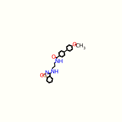 COc1ccc(-c2ccc(C(=O)NCCCNc3n[s+]([O-])c4ccccc34)cc2)cc1